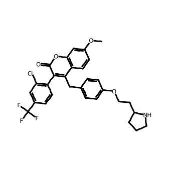 COc1ccc2c(Cc3ccc(OCCC4CCCN4)cc3)c(-c3ccc(C(F)(F)F)cc3Cl)c(=O)oc2c1